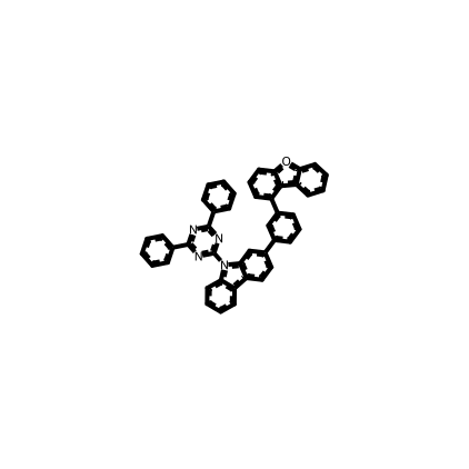 c1ccc(-c2nc(-c3ccccc3)nc(-n3c4ccccc4c4ccc(-c5cccc(-c6cccc7oc8ccccc8c67)c5)cc43)n2)cc1